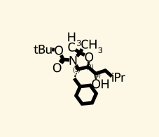 CC(C)C[C@H](O)[C@@H]1OC(C)(C)N(C(=O)OC(C)(C)C)[C@H]1CC1CCCCC1